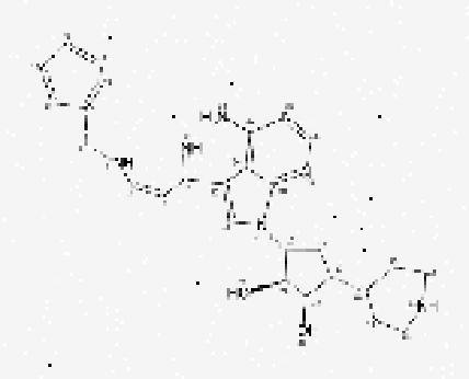 N=C(/C=C\NCc1ccccc1)c1cn([C@@H]2C[C@H](C3CCNCC3)[C@@H](O)[C@H]2O)c2ncnc(N)c12